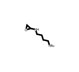 CCCCCCCCNC1CO1